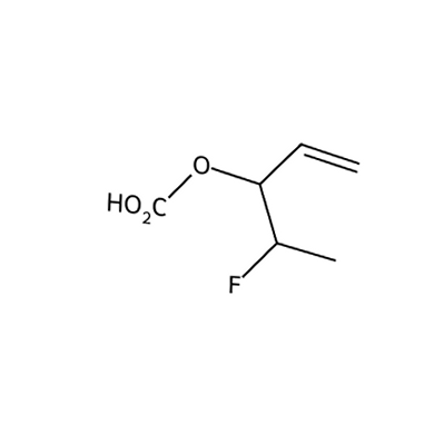 C=CC(OC(=O)O)C(C)F